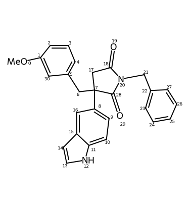 COc1cccc(CC2(c3ccc4[nH]ccc4c3)CC(=O)N(Cc3ccccc3)C2=O)c1